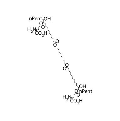 CCCCCC(O)C(CCCCCCCCCCC(=O)OCCCCCCCCCCOC(=O)CCCCCCCCCCC(O)C(CCCCC)OC(=O)CC[C@H](N)C(=O)O)OC(=O)CC[C@H](N)C(=O)O